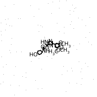 COc1cc(-c2cnc3[nH]cc(OC(=O)NC4CCC(O)CC4)c3n2)cc(OC)c1OC